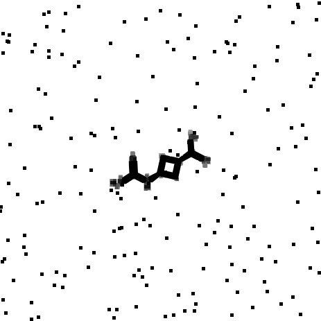 CCC(C(C)C)[C@H]1C[C@@H](NC(N)=O)C1